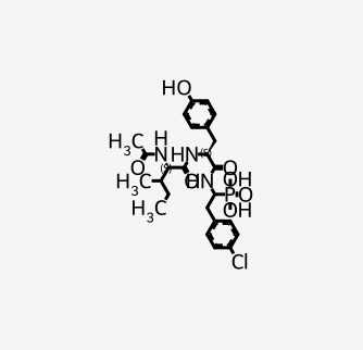 CCC(C)[C@H](NC(C)=O)C(=O)N[C@@H](Cc1ccc(O)cc1)C(=O)NC(Cc1ccc(Cl)cc1)P(=O)(O)O